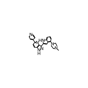 CN1CCN(c2cccc3[nH]c(-c4n[nH]c5ccc(-c6ccncc6)nc45)cc23)CC1